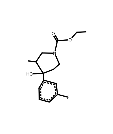 CCOC(=O)N1CCC(O)(c2cccc(F)c2)C(C)C1